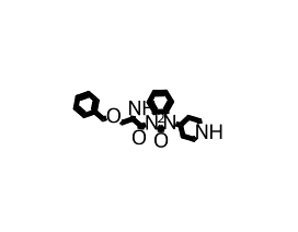 NC(COCc1ccccc1)C(=O)n1c(=O)n(C2CCNCC2)c2ccccc21